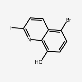 Oc1ccc(Br)c2ccc(I)nc12